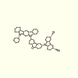 N#Cc1ccc2c(c1)c1cc(C#N)ccc1n2-c1ccc2oc3ccc(-n4c5ccccc5c5cc6c7ccccc7n(-c7ccccc7)c6cc54)cc3c2c1